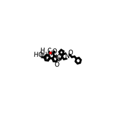 CN(C)C(=O)c1cn(CC2(O)CCN(C(=O)CCC3CCCCC3)CC23CCCC3)c(=O)cc1-c1ccc(CO)cc1